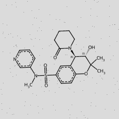 CN(c1cccnc1)S(=O)(=O)c1ccc2c(c1)[C@@H](N1CCCCC1=O)[C@H](O)C(C)(C)O2